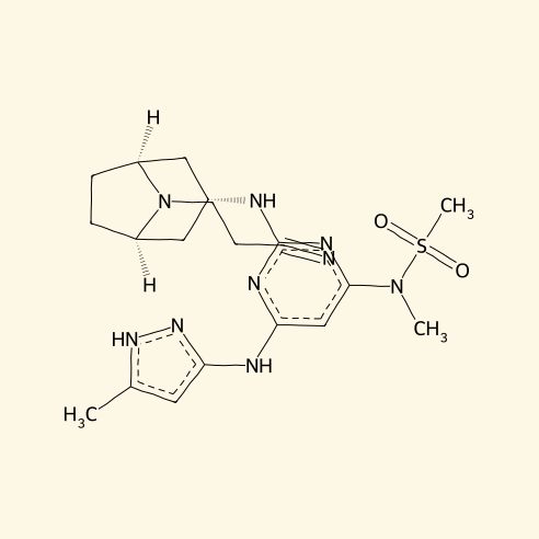 Cc1cc(Nc2cc(N(C)S(C)(=O)=O)nc(N[C@@H]3C[C@H]4CC[C@@H](C3)N4CCC#N)n2)n[nH]1